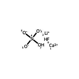 F.[Ca+2].[Li+].[O-][Si]([O-])([O-])O